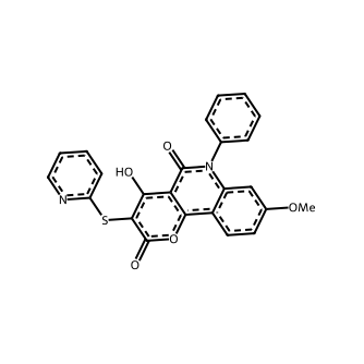 COc1ccc2c3oc(=O)c(Sc4ccccn4)c(O)c3c(=O)n(-c3ccccc3)c2c1